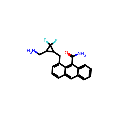 NCC1C(Cc2cccc3cc4ccccc4c(C(N)=O)c23)C1(F)F